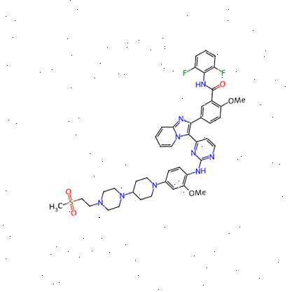 COc1cc(N2CCC(N3CCN(CCS(C)(=O)=O)CC3)CC2)ccc1Nc1nccc(-c2c(-c3ccc(OC)c(C(=O)Nc4c(F)cccc4F)c3)nc3ccccn23)n1